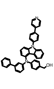 OCc1ccc(N(c2cccc(-c3ccccc3)c2)c2cccc3c2c2ccccc2n3-c2ccc(-c3ccncc3)cc2)cc1